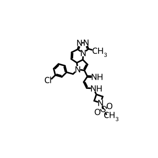 Cc1nnc2n1C1C=C(C(=N)/C=C\NC3CN(S(C)(=O)=O)C3)N(Cc3cccc(Cl)c3)C1C=C2